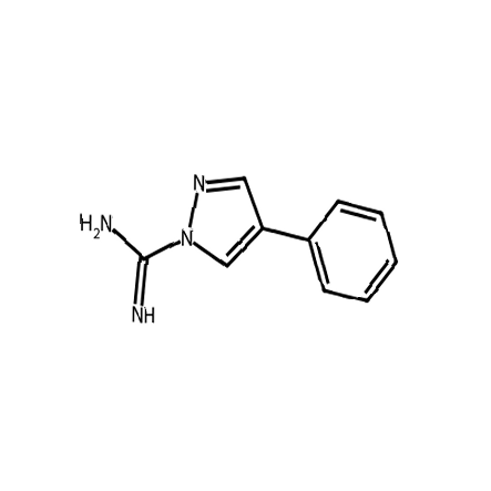 N=C(N)n1cc(-c2ccccc2)cn1